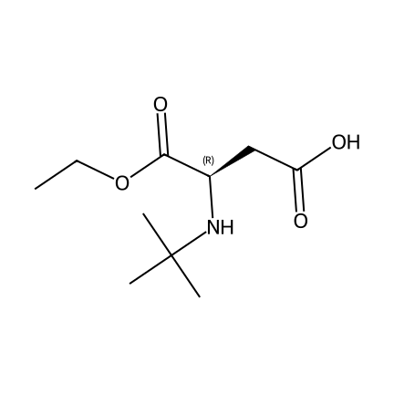 CCOC(=O)[C@@H](CC(=O)O)NC(C)(C)C